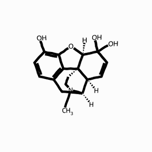 CN1CC[C@]23c4c5ccc(O)c4O[C@H]2C(O)(O)C=C[C@H]3[C@H]1C5